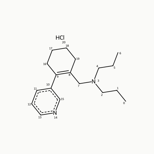 CCCN(CCC)CC1=C(c2cccnc2)CCCC1.Cl